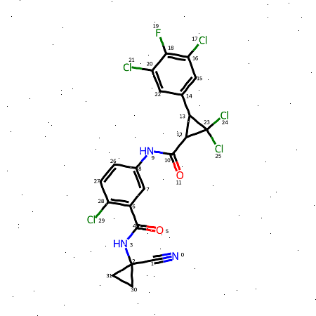 N#CC1(NC(=O)c2cc(NC(=O)C3C(c4cc(Cl)c(F)c(Cl)c4)C3(Cl)Cl)ccc2Cl)CC1